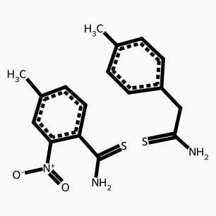 Cc1ccc(C(N)=S)c([N+](=O)[O-])c1.Cc1ccc(CC(N)=S)cc1